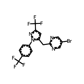 FC(F)(F)c1ccc(-n2nc(C(F)(F)F)cc2Cc2ncc(Br)cn2)cc1